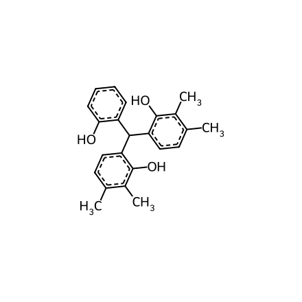 Cc1ccc(C(c2ccccc2O)c2ccc(C)c(C)c2O)c(O)c1C